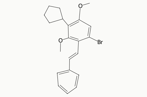 COc1cc(Br)c(C=Cc2ccccc2)c(OC)c1C1CCCC1